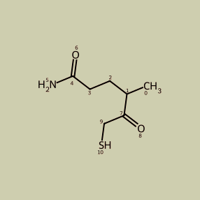 CC(CCC(N)=O)C(=O)CS